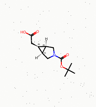 CC(C)(C)OC(=O)N1C[C@@H]2[C@H](CC(=O)O)[C@@H]2C1